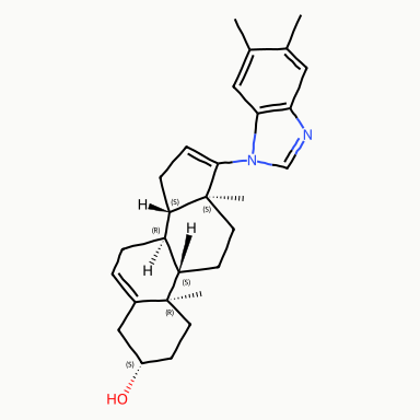 Cc1cc2ncn(C3=CC[C@H]4[C@@H]5CC=C6C[C@@H](O)CC[C@]6(C)[C@H]5CC[C@]34C)c2cc1C